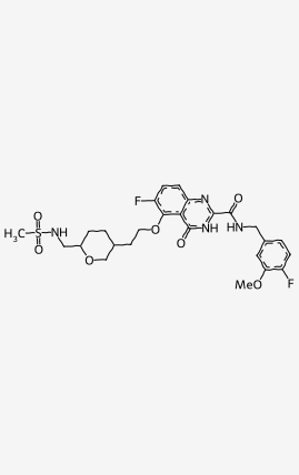 COc1cc(CNC(=O)c2nc3ccc(F)c(OCCC4CCC(CNS(C)(=O)=O)OC4)c3c(=O)[nH]2)ccc1F